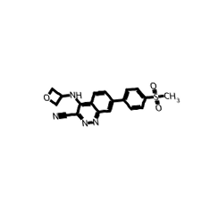 CS(=O)(=O)c1ccc(-c2ccc3c(NC4COC4)c(C#N)nnc3c2)cc1